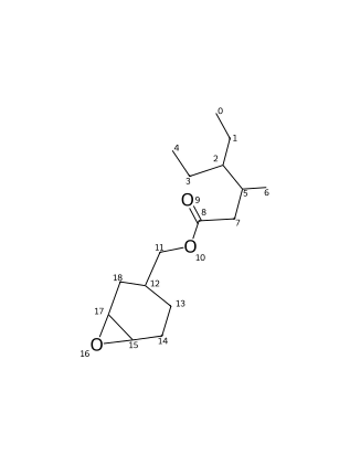 CCC(CC)C(C)CC(=O)OCC1CCC2OC2C1